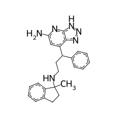 CC1(NCCC(c2ccccc2)c2cc(N)nc3[nH]nnc23)CCc2ccccc21